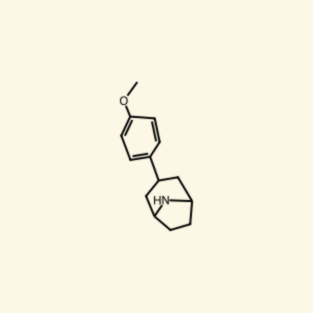 COc1ccc(C2CC3CCC(C2)N3)cc1